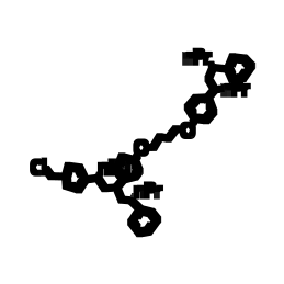 CCCC[C@@H](CC(C[C@H](CCC)c1ccccc1)c1ccc(OCCCCOc2ccc(C(CCC)C[C@H](CCC)c3ccccc3)cc2)cc1)c1ccc(CCl)cc1